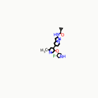 Cc1cc(-c2ccn3nc(NC(=O)C4CC4)cc3c2)c(O[C@@H]2CNC[C@@H]2F)cn1